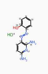 Cl.Nc1ccc(N=Nc2ccccc2O)c(N)n1